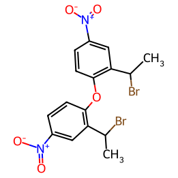 CC(Br)c1cc([N+](=O)[O-])ccc1Oc1ccc([N+](=O)[O-])cc1C(C)Br